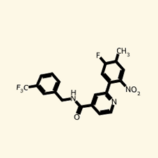 CC1C=C([N+](=O)[O-])C(c2cc(C(=O)NCc3cccc(C(F)(F)F)c3)ccn2)=CC1F